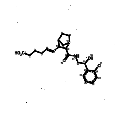 O=C(O)CCCC=CC1C2CCC(C2)C1C(=O)NCC(O)c1ccccc1Cl